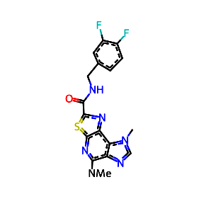 CNc1nc2sc(C(=O)NCc3ccc(F)c(F)c3)nc2c2c1ncn2C